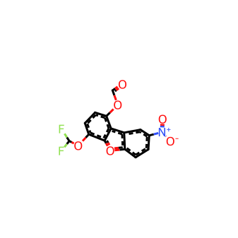 O=COc1ccc(OC(F)F)c2oc3ccc([N+](=O)[O-])cc3c12